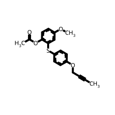 CC#CCOc1ccc(Sc2cc(OC)ccc2OC(C)=O)cc1